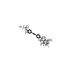 CC(=O)Nc1ccc(C#Cc2ccc(C(=O)N[C@H](C(=O)NO)C(C)(O)C(F)F)cc2)cc1